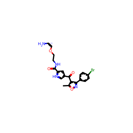 Cc1onc(-c2ccc(Br)cc2)c1C(=O)c1c[nH]c(C(=O)NCCO/C=C\N)c1